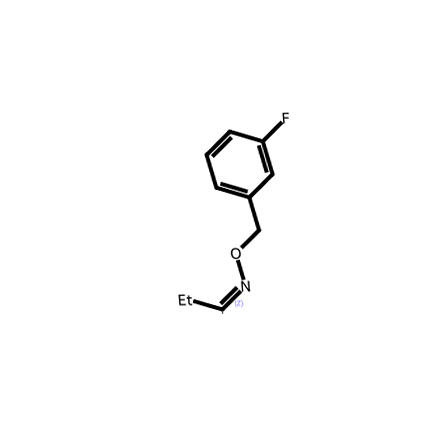 CC/[C]=N\OCc1cccc(F)c1